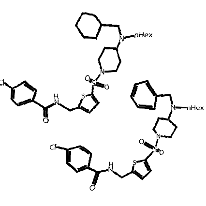 CCCCCCN(CC1CCCCC1)C1CCN(S(=O)(=O)c2ccc(CNC(=O)c3ccc(Cl)cc3)s2)CC1.CCCCCCN(Cc1ccccc1)C1CCN(S(=O)(=O)c2ccc(CNC(=O)c3ccc(Cl)cc3)s2)CC1